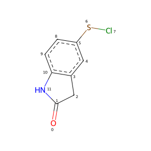 O=C1Cc2cc(SCl)ccc2N1